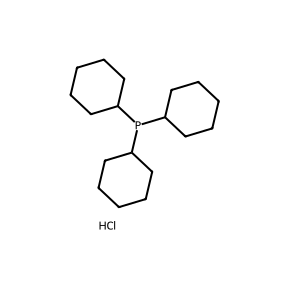 C1CCC(P(C2CCCCC2)C2CCCCC2)CC1.Cl